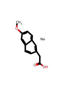 COc1ccc2cc(CC(=O)O)ccc2c1.[Na]